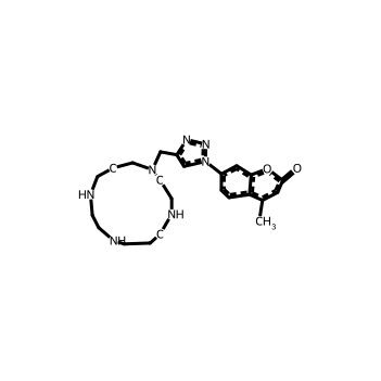 Cc1cc(=O)oc2cc(-n3cc(CN4CCCNCCNCCCNCC4)nn3)ccc12